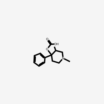 CC1CN(C)CCC1(OC(=O)O)c1ccccc1